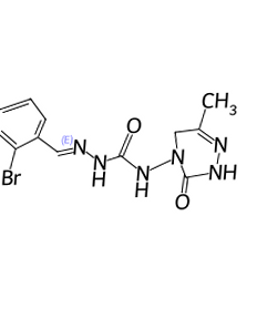 CC1=NNC(=O)N(NC(=O)N/N=C/c2ccccc2Br)C1